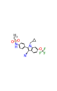 CS(=O)(=O)Nc1ccc(-c2c(C#N)c3ccc(OC(F)(F)F)cc3n2CC2CC2)cc1